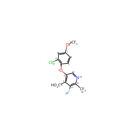 O=C(O)c1c(Oc2ccc(OC(F)(F)F)cc2Cl)cnc(C(F)(F)F)c1F